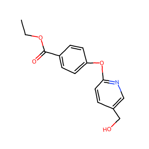 CCOC(=O)c1ccc(Oc2ccc(CO)cn2)cc1